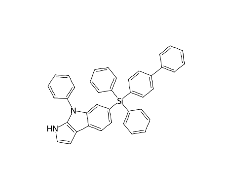 c1ccc(-c2ccc([Si](c3ccccc3)(c3ccccc3)c3ccc4c5cc[nH]c5n(-c5ccccc5)c4c3)cc2)cc1